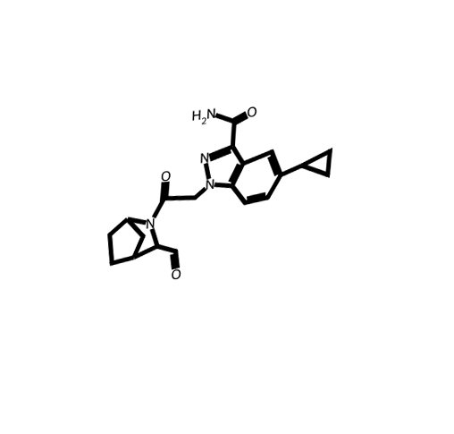 NC(=O)c1nn(CC(=O)N2C3CCC(C3)C2C=O)c2ccc(C3CC3)cc12